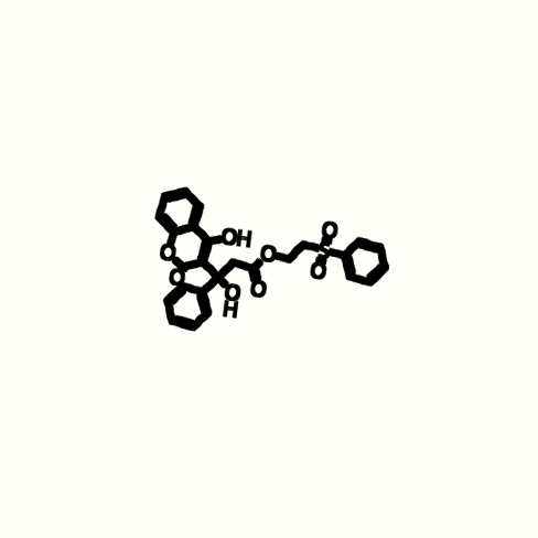 O=C(CC(O)(c1ccccc1)c1c(O)c2ccccc2oc1=O)OCCS(=O)(=O)c1ccccc1